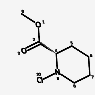 COC(=O)[C@@H]1CCCCN1Cl